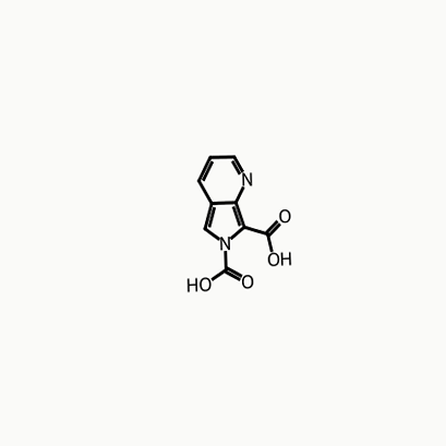 O=C(O)c1c2ncccc2cn1C(=O)O